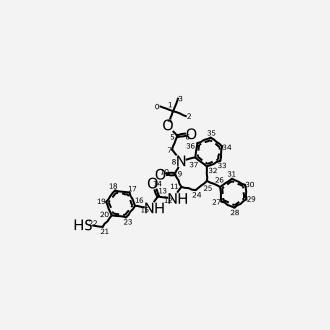 CC(C)(C)OC(=O)CN1C(=O)C(NC(=O)Nc2cccc(CS)c2)CC(c2ccccc2)c2ccccc21